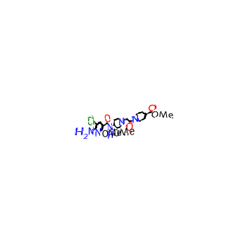 COC(=O)C1CCN(C(=O)CN2CC[C@@H](NC(=O)c3cc(Cl)c(N)nc3OC)[C@@H](OC)C2)CC1